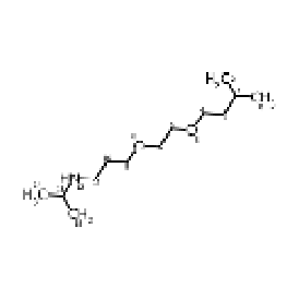 CC(C)CCOCCOCCCNC(C)C